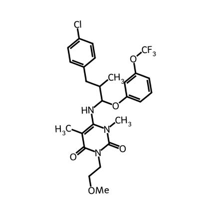 COCCn1c(=O)c(C)c(NC(Oc2cccc(OC(F)(F)F)c2)C(C)Cc2ccc(Cl)cc2)n(C)c1=O